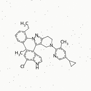 CCc1cccc(CC)c1-n1nc2c(c1-c1ccc(Cl)c3[nH]ccc13)CN(c1ncc(C3CC3)cc1C)CC2